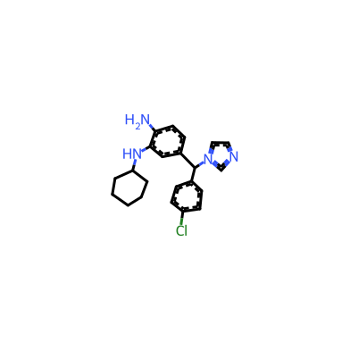 Nc1ccc(C(c2ccc(Cl)cc2)n2ccnc2)cc1NC1CCCCC1